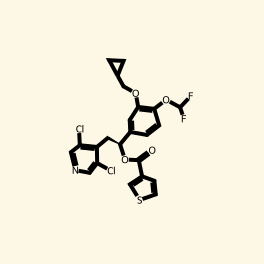 O=C(O[C@@H](Cc1c(Cl)cncc1Cl)c1ccc(OC(F)F)c(OCC2CC2)c1)c1ccsc1